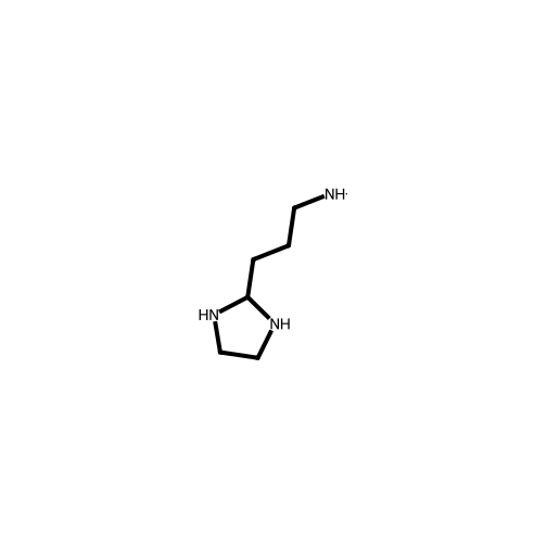 [NH]CCCC1NCCN1